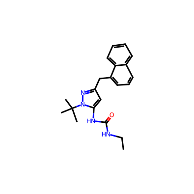 CCNC(=O)Nc1cc(Cc2cccc3ccccc23)nn1C(C)(C)C